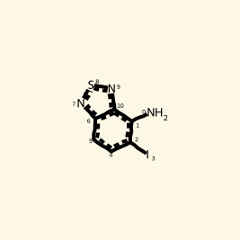 Nc1c(I)ccc2nsnc12